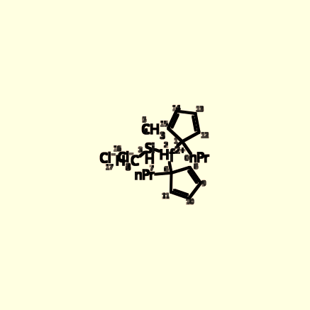 CCC[C]1([Hf+2]([SiH](C)C)[C]2(CCC)C=CC=C2)C=CC=C1.[Cl-].[Cl-]